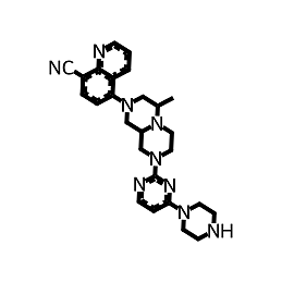 CC1CN(c2ccc(C#N)c3ncccc23)CC2CN(c3nccc(N4CCNCC4)n3)CCN12